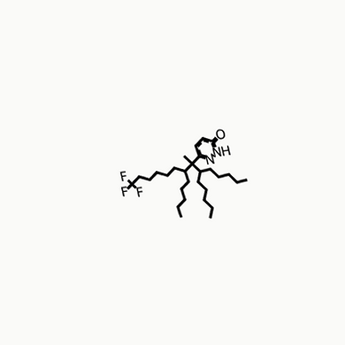 CCCCCC(CCCCC)C(C)(c1ccc(=O)[nH]n1)C(CCCCC)CCCCCC(F)(F)F